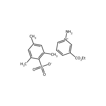 CCOC(=O)c1ccc[n+](N)c1.Cc1cc(C)c(S(=O)(=O)[O-])c(C)c1